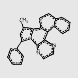 Cc1cc(-c2ccccc2)n2c3nccnc3c3c4ccccc4ccc3c12